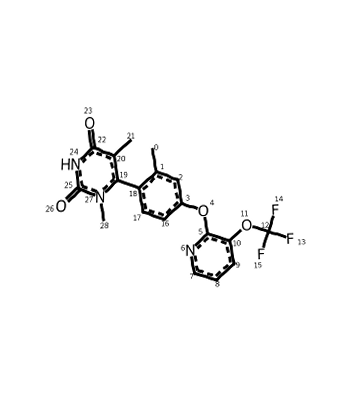 Cc1cc(Oc2ncccc2OC(F)(F)F)ccc1-c1c(C)c(=O)[nH]c(=O)n1C